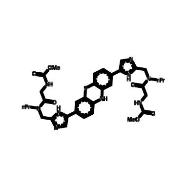 CCCN(Cc1ncc(-c2ccc3c(c2)Nc2ccc(-c4cnc(CN(CCC)C(=O)CNC(=O)OC)[nH]4)cc2S3)[nH]1)C(=O)CNC(=O)OC